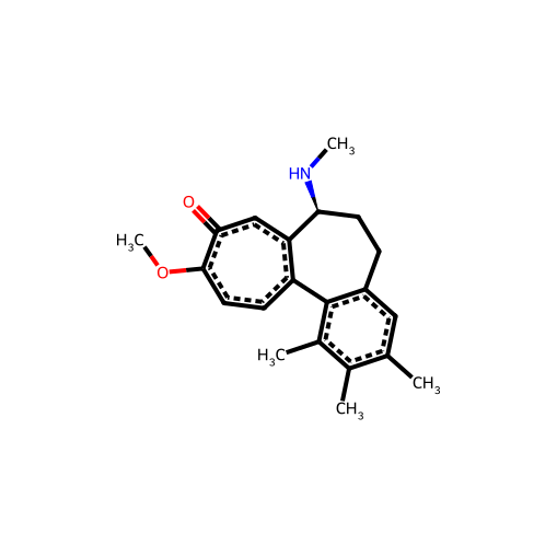 CN[C@H]1CCc2cc(C)c(C)c(C)c2-c2ccc(OC)c(=O)cc21